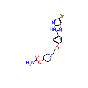 NC(=O)OC1CCN(CCOc2ccc(-c3nc4cc(Br)cnc4[nH]3)cc2)CC1